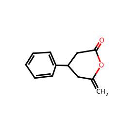 C=C1CC(c2ccccc2)CC(=O)O1